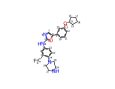 FC(F)(F)c1cc(Nc2ncc(-c3cccc(OC4CCCC4)c3)o2)ccc1N1CCNCC1